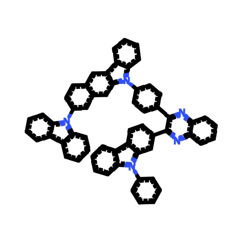 c1ccc(-n2c3ccccc3c3ccc(-c4nc5ccccc5nc4-c4ccc(-n5c6ccccc6c6cc7ccc(-n8c9ccccc9c9ccccc98)cc7cc65)cc4)cc32)cc1